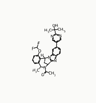 CC(=O)N1C2C[C@H](c3c(OC(F)F)cccc3[C@@H]1C)n1c2nc2ccc(-c3cnc(C(C)(C)O)nc3)cc21